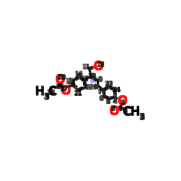 CC(=O)Oc1ccc(C/C=C(/C=O)c2ccc(OC(C)=O)cc2)cc1